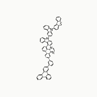 c1cc(-c2ccc3c4ccccc4c4ccccc4c3c2)cc(-c2ccc3c(c2)c2nccnc2c2c(-c4cccc5c4c4ccccc4n5-c4ccc5c(c4)c4ccccc4n5-c4ccc5sc6ccccc6c5c4)cccc32)c1